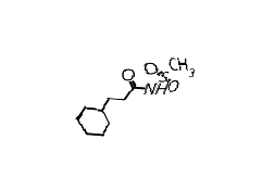 CS(=O)(=O)NC(=O)CCC1CCCCC1